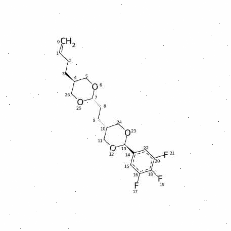 C=CCC[C@H]1CO[C@H](CC[C@H]2CO[C@H](c3cc(F)c(F)c(F)c3)OC2)OC1